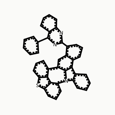 c1ccc(-c2nc(-c3cccc4c3cc3c5cccc6sc7cccc(c7c65)n5c6ccccc6c4c35)nc3ccccc23)cc1